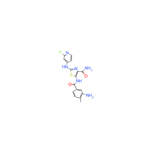 Cc1ccc(C(=O)Nc2sc(Nc3ccnc(F)c3)nc2C(N)=O)cc1N